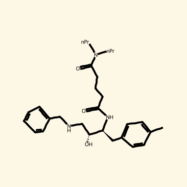 CCCN(CCC)C(=O)CCCC(=O)N[C@@H](Cc1ccc(C)cc1)[C@H](O)CNCc1ccccc1